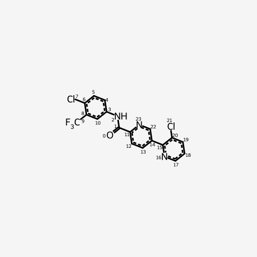 O=C(Nc1ccc(Cl)c(C(F)(F)F)c1)c1ccc(-c2ncccc2Cl)cn1